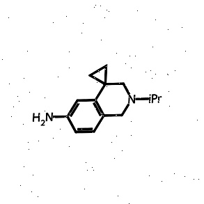 CC(C)N1Cc2ccc(N)cc2C2(CC2)C1